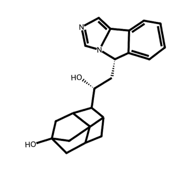 O[C@H](C[C@H]1c2ccccc2-c2cncn21)C1C2CC3CC1CC(O)(C3)C2